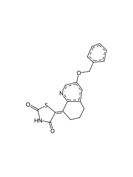 O=C1NC(=O)/C(=C2\CCCc3cc(OCc4ccccc4)cnc32)S1